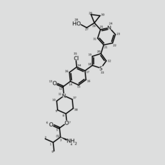 CC(C)[C@H](N)C(=O)OC1CCN(C(=O)c2ccc(-c3cc(-c4ccnc(C5(CO)CC5)c4)cs3)c(Cl)c2)CC1